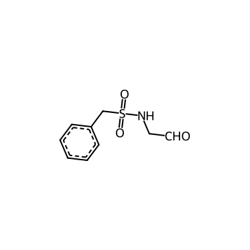 O=CCNS(=O)(=O)Cc1ccccc1